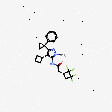 Cn1nc(C2(c3ccccc3)CC2)c(C2CCC2)c1NC(=O)C[C@@H]1CC(F)(F)C1(F)F